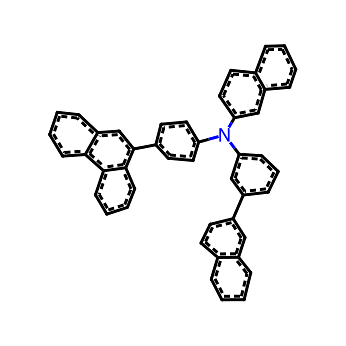 c1cc(-c2ccc3ccccc3c2)cc(N(c2ccc(-c3cc4ccccc4c4ccccc34)cc2)c2ccc3ccccc3c2)c1